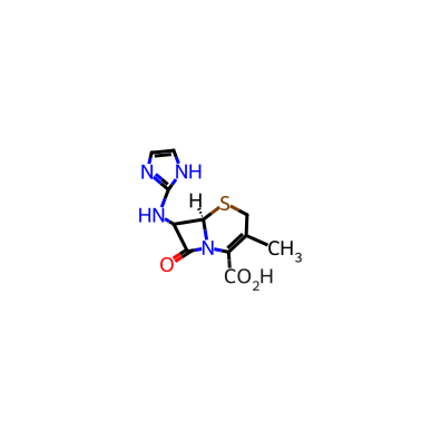 CC1=C(C(=O)O)N2C(=O)C(Nc3ncc[nH]3)[C@H]2SC1